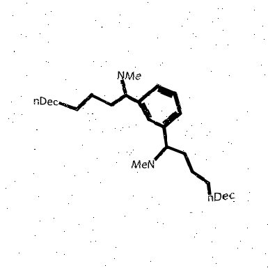 CCCCCCCCCCCCCC(NC)c1cccc(C(CCCCCCCCCCCCC)NC)c1